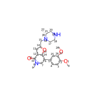 COc1ccc(-c2cn(C)c(=O)c3cc(CN4CCNC[C@H]4C)oc23)cc1OC